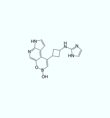 OB1C=C(C2CC(Nc3ncc[nH]3)C2)c2c(cnc3[nH]ccc23)O1